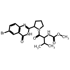 COC(=O)NC(C(=O)N1CCCC1c1nc2ccc(Br)cc2c(=O)[nH]1)C(C)C